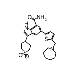 NC(=O)c1cc(-c2ccc(CN3CCCCCC3)s2)cc2c(C3CCS(=O)(=O)CC3)c[nH]c12